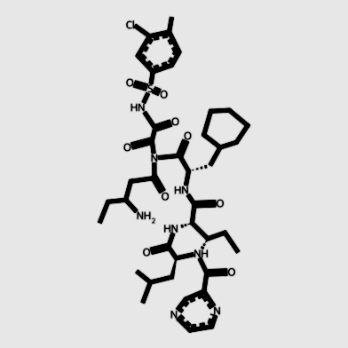 CCC(N)CC(=O)N(C(=O)C(=O)NS(=O)(=O)c1ccc(C)c(Cl)c1)C(=O)[C@H](CC1CCCCC1)NC(=O)[C@@H](NC(=O)[C@H](CC(C)C)NC(=O)c1cnccn1)[C@@H](C)CC